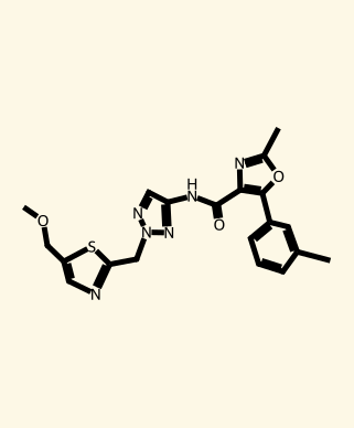 COCc1cnc(Cn2ncc(NC(=O)c3nc(C)oc3-c3cccc(C)c3)n2)s1